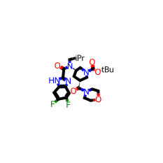 CC(C)CN(C(=O)c1nc2cc(F)c(F)cc2[nH]1)[C@H]1C[C@@H](C(=O)N2CCOCC2)CN(C(=O)OC(C)(C)C)C1